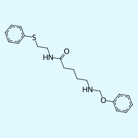 O=C(CCCCNCOc1ccccc1)NCCSc1ccccc1